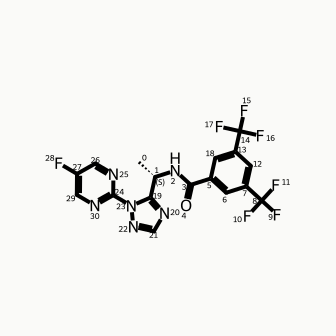 C[C@H](NC(=O)c1cc(C(F)(F)F)cc(C(F)(F)F)c1)c1ncnn1-c1ncc(F)cn1